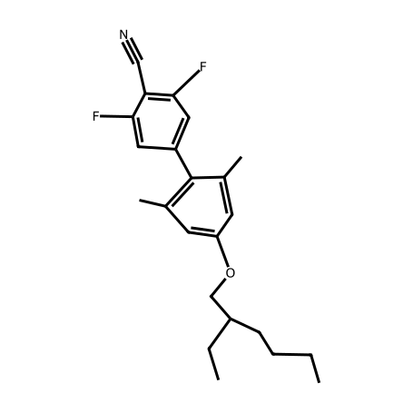 CCCCC(CC)COc1cc(C)c(-c2cc(F)c(C#N)c(F)c2)c(C)c1